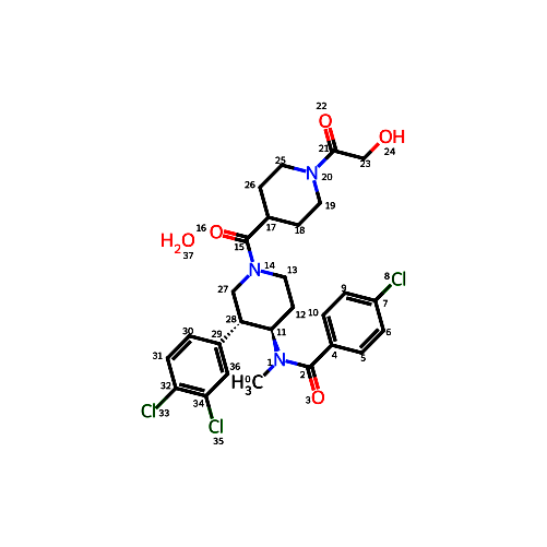 CN(C(=O)c1ccc(Cl)cc1)[C@@H]1CCN(C(=O)C2CCN(C(=O)CO)CC2)C[C@H]1c1ccc(Cl)c(Cl)c1.O